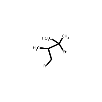 CCC(C)(C(=O)O)C(C)CC(C)C